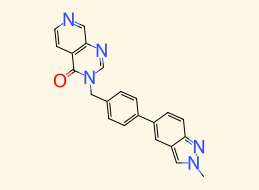 Cn1cc2cc(-c3ccc(Cn4cnc5cnccc5c4=O)cc3)ccc2n1